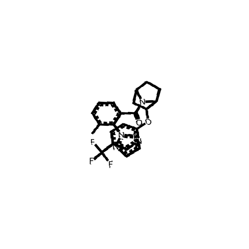 Cc1cccc(C(=O)N2C3CCC2C(Oc2ccc(C(F)(F)F)cn2)C3)c1-n1nccn1